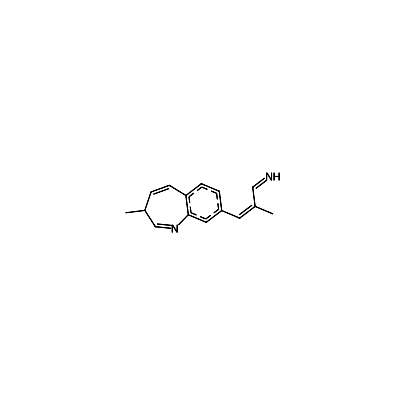 C/C(C=N)=C/c1ccc2c(c1)N=CC(C)C=C2